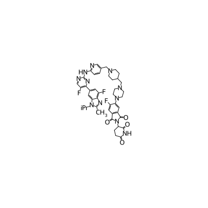 Cc1nc2c(F)cc(-c3nc(Nc4ccc(CN5CCC(CN6CCN(c7cc8c(cc7F)C(=O)N(C7CCC(=O)NC7=O)C8=O)CC6)CC5)cn4)ncc3F)cc2n1C(C)C